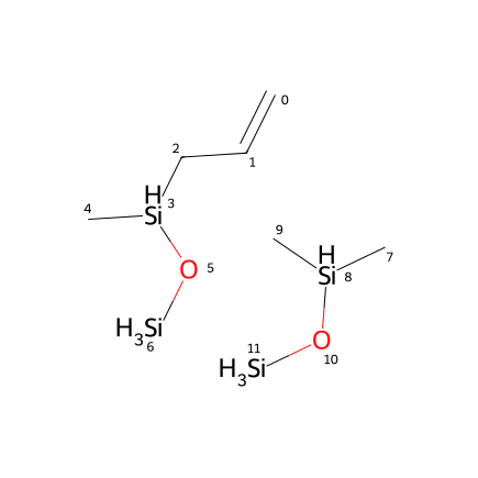 C=CC[SiH](C)O[SiH3].C[SiH](C)O[SiH3]